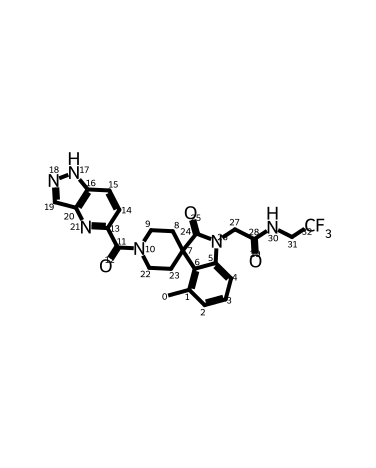 Cc1cccc2c1C1(CCN(C(=O)c3ccc4[nH]ncc4n3)CC1)C(=O)N2CC(=O)NCC(F)(F)F